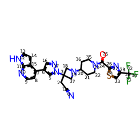 N#CCC1(n2cc(-c3ccnc4[nH]ccc34)cn2)CN(C2CCN(C(=O)c3nc(C(F)(F)F)cs3)CC2)C1